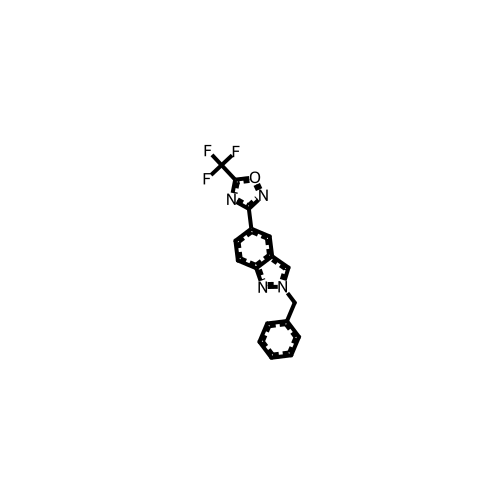 FC(F)(F)c1nc(-c2ccc3nn(Cc4ccccc4)cc3c2)no1